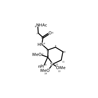 CCCC1(OC)C(NC(=O)CNC(C)=O)CCC[Si]1(OC)OC